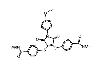 CNC(=O)c1ccc(SC2=C(Sc3ccc(C(=O)NC)cc3)C(=O)N(c3ccc(OC(C)C)cc3)C2=O)cc1